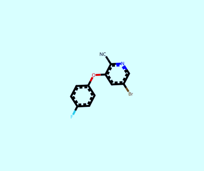 N#Cc1ncc(Br)cc1Oc1ccc(F)cc1